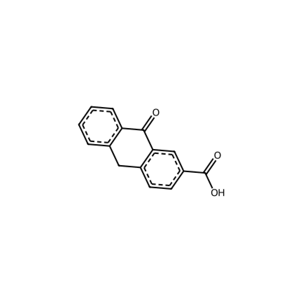 O=C(O)c1ccc2c(c1)C(=O)c1ccccc1C2